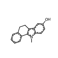 Cn1c2c(c3cc(O)ccc31)CCc1ccccc1-2